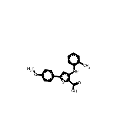 COc1ccc(-c2cc(Nc3ccccc3C)c(C(=O)O)s2)cc1